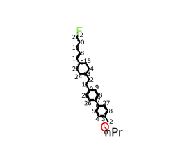 CCCOCc1ccc(-c2ccc(CCC3CCC(/C=C/CCCF)CC3)cc2)cc1